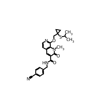 CC(C)SC1(COc2nccc3cc(C(=O)NCc4ccc(C#N)cc4)c(=O)n(C)c23)CC1